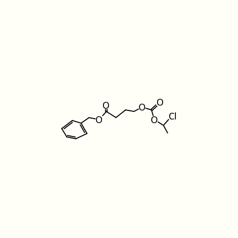 CC(Cl)OC(=O)OCCCC(=O)OCc1ccccc1